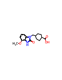 COc1cccc2c1[nH]c(=O)n2CC1CCC(C(=O)O)CC1